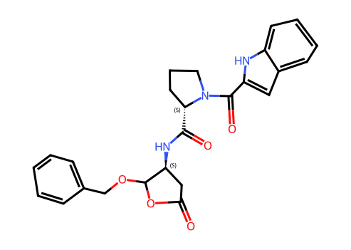 O=C1C[C@H](NC(=O)[C@@H]2CCCN2C(=O)c2cc3ccccc3[nH]2)C(OCc2ccccc2)O1